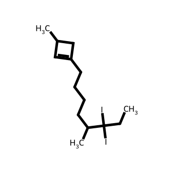 CCC(I)(I)C(C)CCCCC1=CC(C)C1